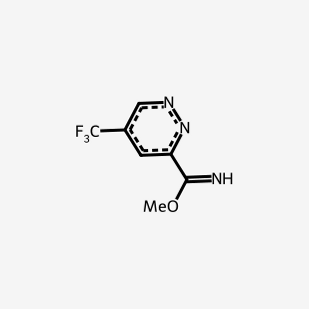 COC(=N)c1cc(C(F)(F)F)cnn1